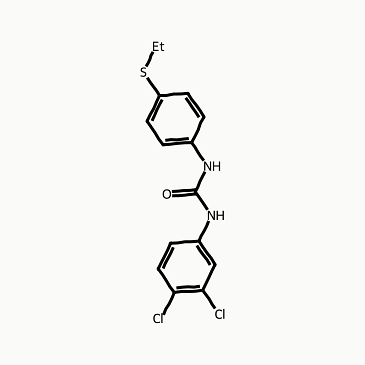 CCSc1ccc(NC(=O)Nc2ccc(Cl)c(Cl)c2)cc1